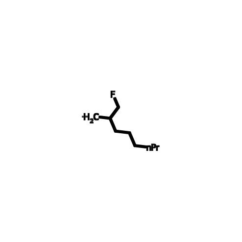 [CH2]C(CF)CCCCCC